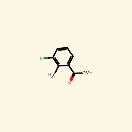 [CH2]c1c(Cl)cccc1C(=O)OC